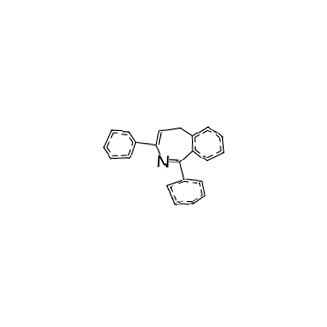 C1=C(c2ccccc2)N=C(c2ccccc2)c2ccccc2C1